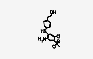 CS(=O)(=O)c1cc(N)c(Nc2ccc(CCO)cc2)cc1Cl